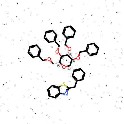 c1ccc(COC[C@H]2O[C@@H](c3cccc(Cc4nc5ccccc5s4)c3)[C@H](OCc3ccccc3)[C@@H](OCc3ccccc3)[C@@H]2OCc2ccccc2)cc1